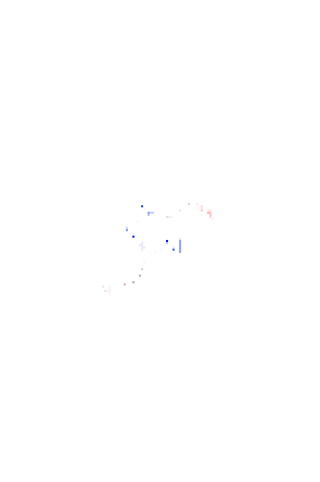 O=CC1NN=C(CBr)N1